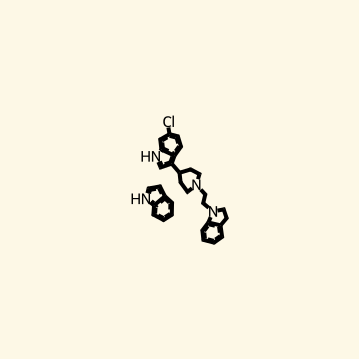 Clc1ccc2c(C3CCN(CCN4CCc5ccccc54)CC3)c[nH]c2c1.c1ccc2[nH]ccc2c1